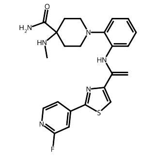 C=C(Nc1ccccc1N1CCC(NC)(C(N)=O)CC1)c1csc(-c2ccnc(F)c2)n1